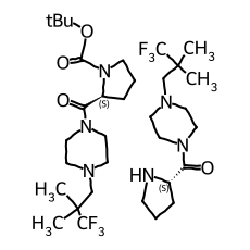 CC(C)(C)OC(=O)N1CCC[C@H]1C(=O)N1CCN(CC(C)(C)C(F)(F)F)CC1.CC(C)(CN1CCN(C(=O)[C@@H]2CCCN2)CC1)C(F)(F)F